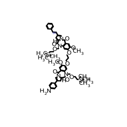 COc1cc2c(cc1OCCCOc1cc3c(cc1OC)C(=O)N1C=C(c4ccc(N)cc4)C[C@H]1C(=O)N3COCC[Si](C)(C)C)N(COCC[Si](C)(C)C)C(=O)[C@@H]1CC(/C=C/c3ccccc3)=CN1C2=O